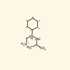 CC(C)N[SiH](C[SiH3])C1CCCCC1